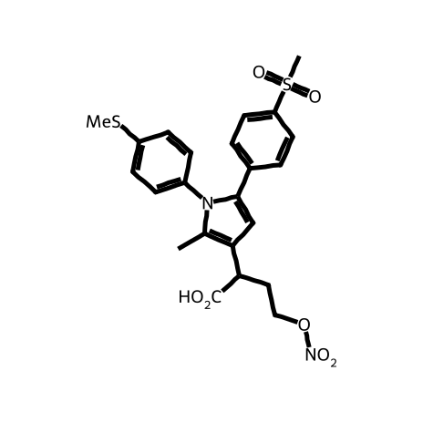 CSc1ccc(-n2c(-c3ccc(S(C)(=O)=O)cc3)cc(C(CCO[N+](=O)[O-])C(=O)O)c2C)cc1